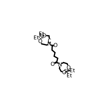 CC[Si]1(CC)OCCN(C(=O)CCCCC(=O)N2CCO[Si](CC)(CC)OCC2)CCO1